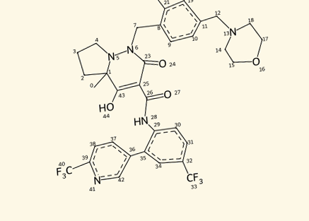 CC12CCCN1N(Cc1ccc(CN3CCOCC3)c(F)c1F)C(=O)C(C(=O)Nc1ccc(C(F)(F)F)cc1-c1ccc(C(F)(F)F)nc1)=C2O